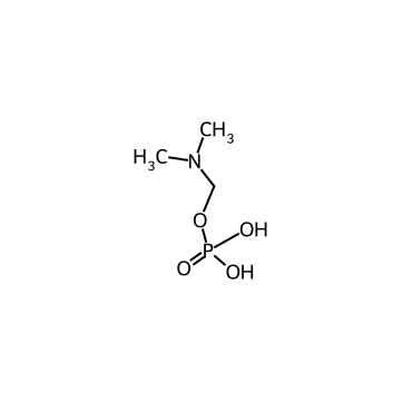 CN(C)COP(=O)(O)O